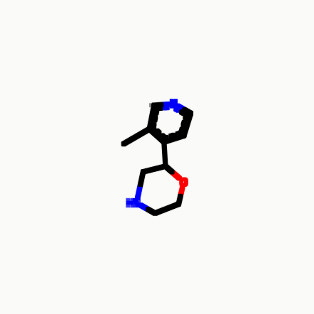 Cc1[c]nccc1C1CNCCO1